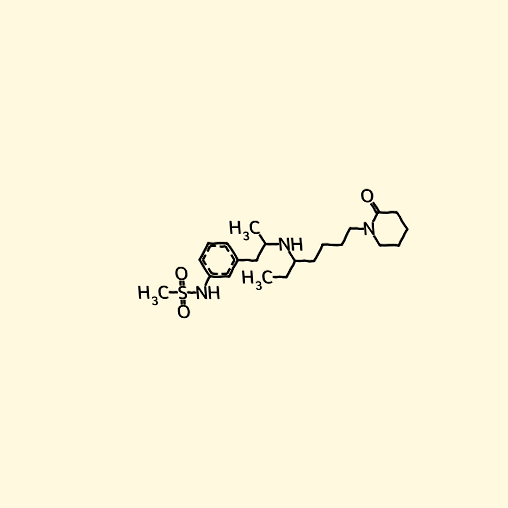 CCC(CCCCN1CCCCC1=O)NC(C)Cc1cccc(NS(C)(=O)=O)c1